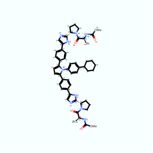 COC(=O)N[C@H](C(=O)N1CCC[C@H]1c1ncc(-c2ccc(-c3ccc(-c4ccc(-c5cnc([C@@H]6CCCN6C(=O)[C@@H](NC(=O)OC)C(C)C)[nH]5)cc4)n3-c3ccc(C4CCCCC4)cc3)cc2)[nH]1)C(C)C